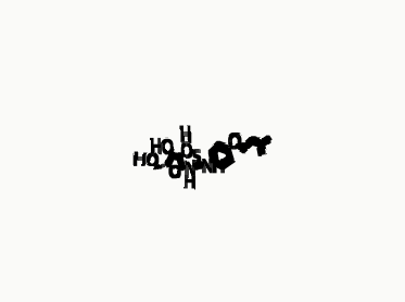 CC(C)CCOc1ccc(NC(=S)N[C@@H]2O[C@H](CO)C(O)C2O)cc1